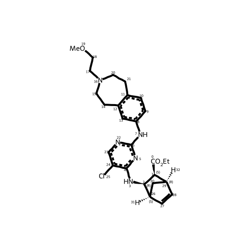 CCOC(=O)[C@@H]1[C@H](Nc2nc(Nc3ccc4c(c3)CCN(CCOC)CC4)ncc2Cl)[C@@H]2C=C[C@H]1C2